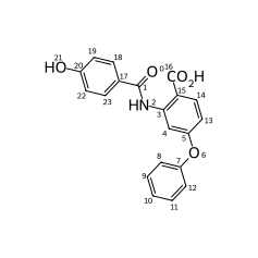 O=C(Nc1cc(Oc2ccccc2)ccc1C(=O)O)c1ccc(O)cc1